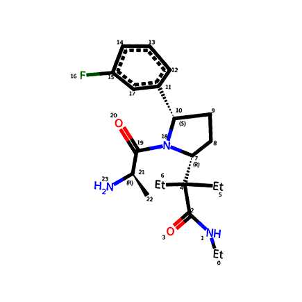 CCNC(=O)C(CC)(CC)[C@H]1CC[C@@H](c2cccc(F)c2)N1C(=O)[C@@H](C)N